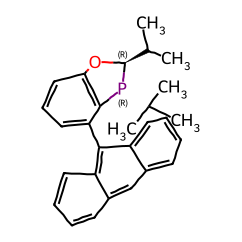 CC(C)[C@@H]1Oc2cccc(-c3c4ccccc4cc4ccccc34)c2[P@]1C(C)(C)C